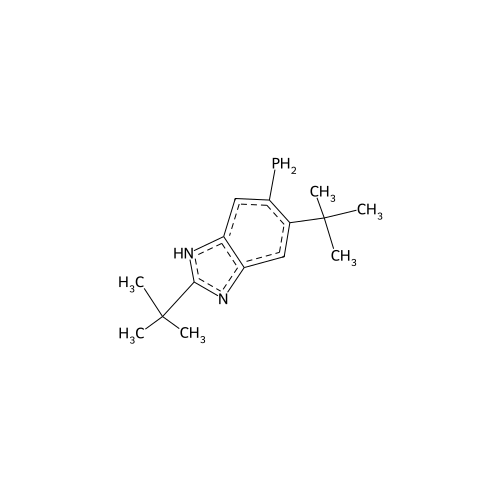 CC(C)(C)c1nc2cc(C(C)(C)C)c(P)cc2[nH]1